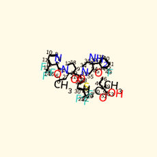 CCC[C@H]1N(C(=O)c2ncccc2C(F)(F)F)CCC[C@@]1(Oc1csc(C(F)(F)F)c1)C(=O)N1CCC(N)(c2cccc(F)c2OCCC(C)(C)C(=O)O)CC1